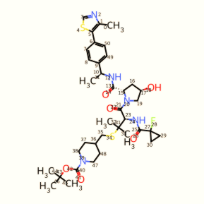 Cc1ncsc1-c1ccc([C@H](C)NC(=O)[C@@H]2C[C@@H](O)CN2C(=O)[C@@H](NC(=O)C2(F)CC2)C(C)(C)SCC2CCN(C(=O)OC(C)(C)C)CC2)cc1